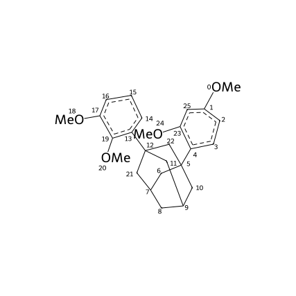 COc1ccc(C23CC4CC(C2)CC(c2cccc(OC)c2OC)(C4)C3)c(OC)c1